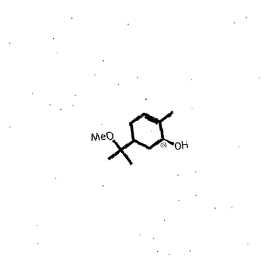 COC(C)(C)C1CC=C(C)[C@@H](O)C1